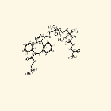 CC(C)(C)NCCC(=O)N1Cc2ccccc2C2C(N=NN2CCC(C)(C)OCCC(C)(C)NC(=O)CCC(=O)C(C)(C)C)c2ccccc21